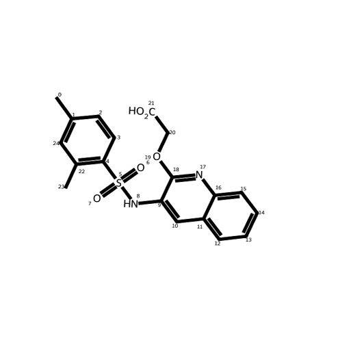 Cc1ccc(S(=O)(=O)Nc2cc3ccccc3nc2OCC(=O)O)c(C)c1